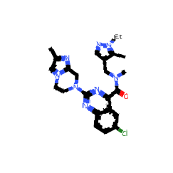 CCn1ncc(CN(C)C(=O)c2nc(N3CCn4cc(C)nc4C3)nc3ccc(Cl)cc23)c1C